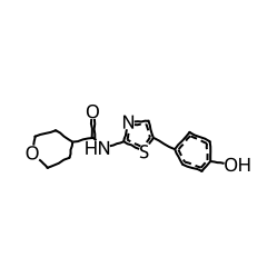 O=C(Nc1ncc(-c2ccc(O)cc2)s1)C1CCOCC1